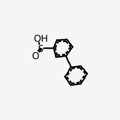 O=S(O)c1cccc(-c2ccccc2)c1